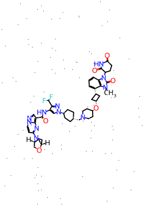 Cn1c(=O)n(C2CCC(=O)NC2=O)c2cccc([C@H]3C[C@@H](OC4CCN(C[C@H]5CC[C@H](n6cc(NC(=O)c7cnn8ccc(N9C[C@H]%10C[C@@H]9CO%10)nc78)c(C(F)F)n6)CC5)CC4)C3)c21